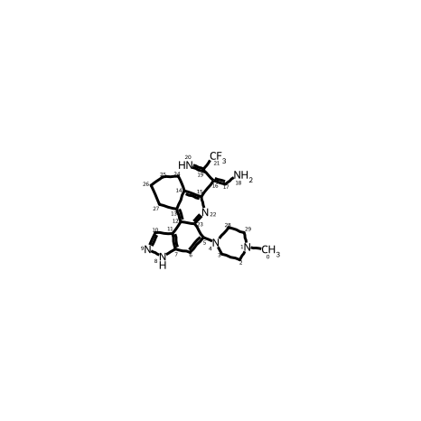 CN1CCN(c2cc3[nH]ncc3c3c4c(c(/C(=C/N)C(=N)C(F)(F)F)nc23)CCCC4)CC1